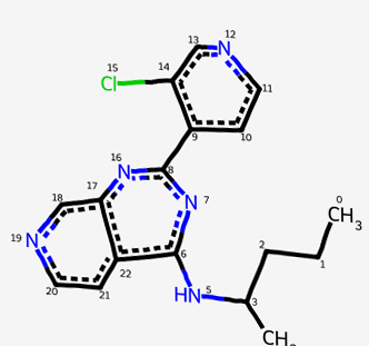 CCCC(C)Nc1nc(-c2ccncc2Cl)nc2cnccc12